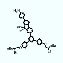 CCCCC(CC)COc1ccc(-c2cc(-c3ccc(OCC(CC)CCCC)cc3)cc(-c3ccc4c(c3)C(CCC)(CCC)c3cc(-c5ccc(N)cc5)ccc3-4)c2)cc1